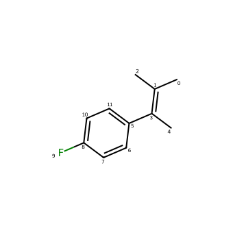 CC(C)=C(C)c1ccc(F)cc1